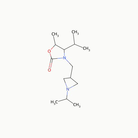 CC(C)C1C(C)OC(=O)N1CC1CN(C(C)C)C1